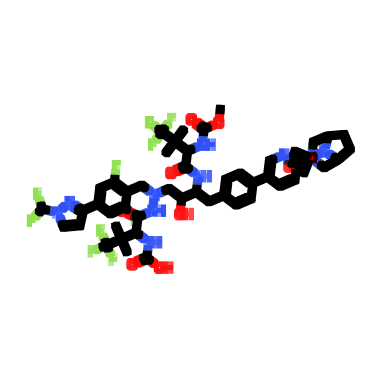 COC(=O)NC(C(=O)NC(Cc1ccc(-c2ccc(N3CC4CCC(C3)N4C3COC3)nc2)cc1)C(O)CN(Cc1c(F)cc(-c2ccn(C(F)F)n2)cc1F)NC(=O)C(NC(=O)O)C(C)(C)C(F)(F)F)C(C)(C)C(F)(F)F